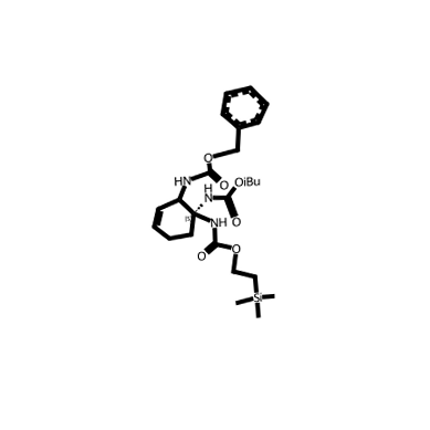 CC(C)COC(=O)N[C@]1(NC(=O)OCC[Si](C)(C)C)CCC=CC1NC(=O)OCc1ccccc1